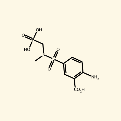 CN(CP(=O)(O)O)S(=O)(=O)c1ccc(N)c(C(=O)O)c1